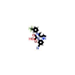 CC1=C(c2ccnn2-c2ccc(C#N)cc2)N(C)C(C(=O)O)C(=O)N1c1cccc(C(F)(F)F)c1